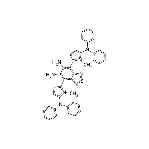 Cn1c(-c2c(N)c(N)c(-c3ccc(N(c4ccccc4)c4ccccc4)n3C)c3nsnc23)ccc1N(c1ccccc1)c1ccccc1